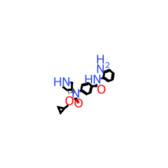 Nc1ccccc1NC(=O)c1ccc(N(C(=O)OCC2CC2)[C@H]2CCNC2)cc1